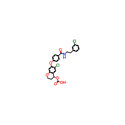 O=C(O)OC1CCOc2cc(Oc3ccc(C(=O)NCCc4cccc(Cl)c4)cc3)c(Cl)cc21